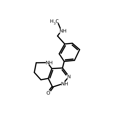 CNCc1cccc(-c2n[nH]c(=O)c3c2NCCC3)c1